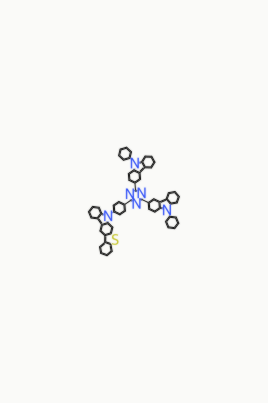 c1ccc(-n2c3ccccc3c3cc(-c4nc(-c5ccc(-n6c7ccccc7c7cc8c(cc76)sc6ccccc68)cc5)nc(-c5ccc6c(c5)c5ccccc5n6-c5ccccc5)n4)ccc32)cc1